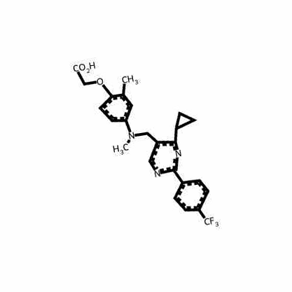 Cc1cc(N(C)Cc2cnc(-c3ccc(C(F)(F)F)cc3)nc2C2CC2)ccc1OCC(=O)O